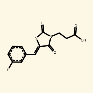 O=C(O)CCN1C(=O)S/C(=C\c2cccc(F)c2)C1=O